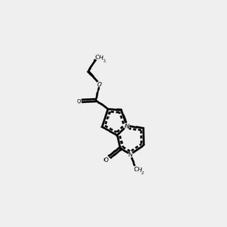 CCOC(=O)c1cc2c(=O)n(C)ccn2c1